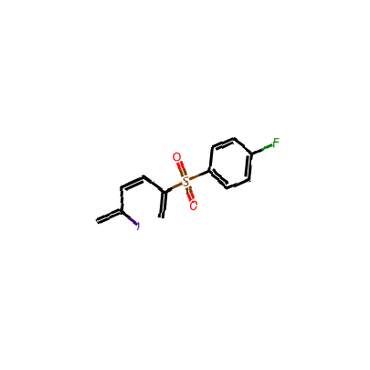 C=C(I)/C=C\C(=C)S(=O)(=O)c1ccc(F)cc1